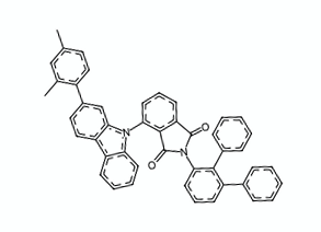 Cc1ccc(-c2ccc3c4ccccc4n(-c4cccc5c4C(=O)N(c4cccc(-c6ccccc6)c4-c4ccccc4)C5=O)c3c2)c(C)c1